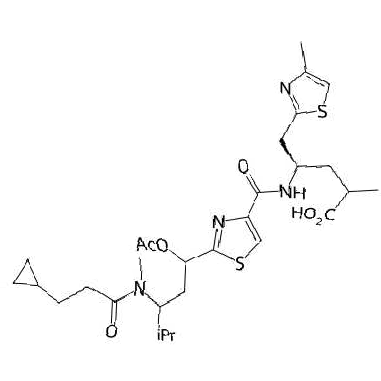 CC(=O)OC(CC(C(C)C)N(C)C(=O)CCC1CC1)c1nc(C(=O)N[C@@H](Cc2nc(C)cs2)CC(C)C(=O)O)cs1